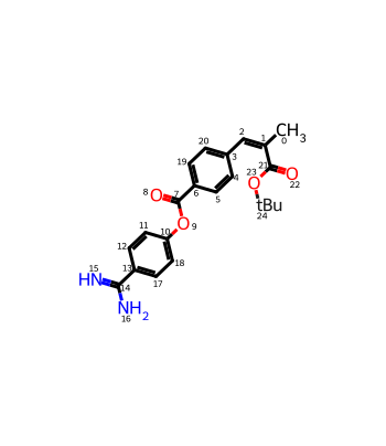 CC(=Cc1ccc(C(=O)Oc2ccc(C(=N)N)cc2)cc1)C(=O)OC(C)(C)C